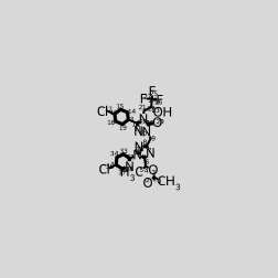 CC(=O)OC(C)c1nc(Cn2nc(-c3ccc(Cl)cc3)n(C[C@H](O)C(F)(F)F)c2=O)nn1-c1ccc(Cl)cn1